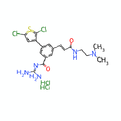 CN(C)CCNC(=O)C=Cc1cc(C(=O)N=C(N)N)cc(-c2cc(Cl)sc2Cl)c1.Cl.Cl